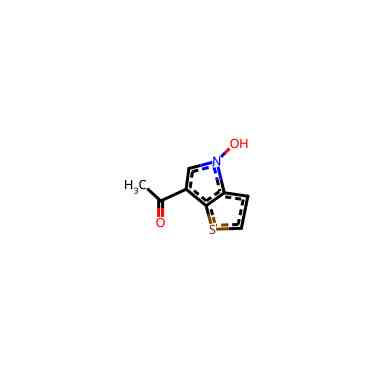 CC(=O)c1cn(O)c2ccsc12